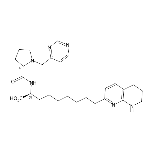 O=C(O)[C@H](CCCCCCCc1ccc2c(n1)NCCC2)NC(=O)[C@@H]1CCCN1Cc1ccncn1